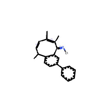 CC/N=C1/C(C)=C(C)\C=C/C(C)c2ccc(-c3ccccc3)cc21